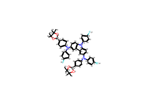 CC1(C)OB(c2ccc(N(c3ccc(F)cc3)c3ccc4c(c3)c3cc(N(c5ccc(F)cc5)c5ccc(B6OC(C)(C)C(C)(C)O6)cc5)ccc3n4-c3ccc(F)cc3)cc2)OC1(C)C